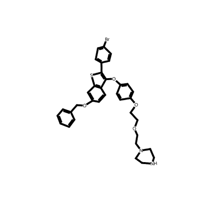 Brc1ccc(-c2sc3cc(OCc4ccccc4)ccc3c2Oc2ccc(OCCOCCN3CCNCC3)cc2)cc1